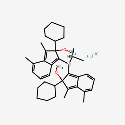 CC1=c2c(C)cccc2=[C]([Zr]([C]2=c3cccc(C)c3=C(C)C2(O[SiH3])C2CCCCC2)[SiH](C)C)C1(O[SiH3])C1CCCCC1.Cl.Cl